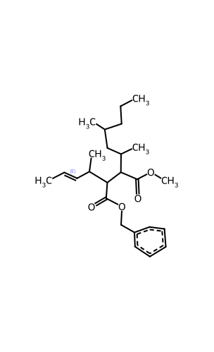 C/C=C/C(C)C(C(=O)OCc1ccccc1)C(C(=O)OC)C(C)CC(C)CCC